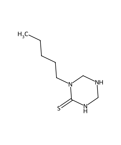 CCCCCN1CNCNC1=S